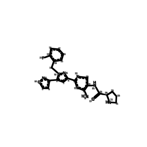 Nc1nc(-c2cc(-c3ccon3)n(Cc3ccccc3F)n2)ncc1NC(=O)[C@H]1CCCN1